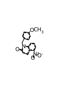 COc1ccc(Cn2c(=O)ccc3c([N+](=O)[O-])cccc32)cc1